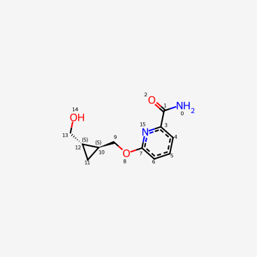 NC(=O)c1cccc(OC[C@H]2C[C@@H]2CO)n1